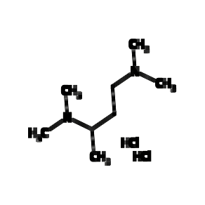 CC(CCN(C)C)N(C)C.Cl.Cl